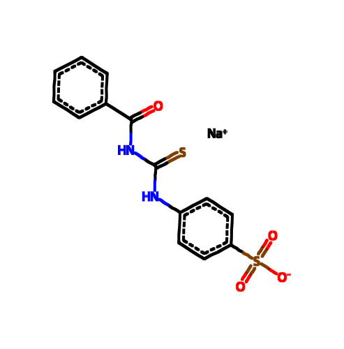 O=C(NC(=S)Nc1ccc(S(=O)(=O)[O-])cc1)c1ccccc1.[Na+]